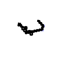 CCCCC/C=C\C/C=C\CCCCCCCC(=O)OCC(C)COC(=O)OCCCN(C)C